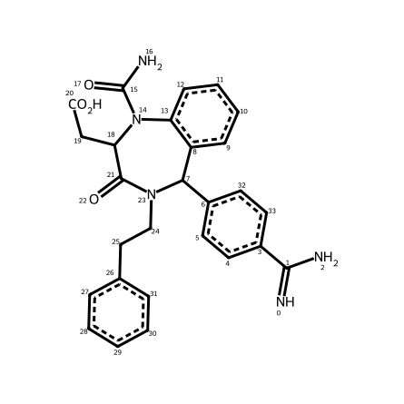 N=C(N)c1ccc(C2c3ccccc3N(C(N)=O)C(CC(=O)O)C(=O)N2CCc2ccccc2)cc1